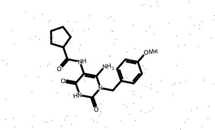 COc1ccc(Cn2c(N)c(NC(=O)C3CCCC3)c(=O)[nH]c2=O)cc1